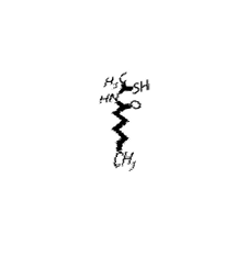 CCCCCCC(=O)NC(C)S